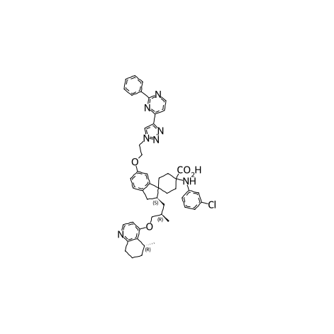 C[C@@H](COc1ccnc2c1[C@H](C)CCC2)C[C@H]1Cc2ccc(OCCn3cc(-c4ccnc(-c5ccccc5)n4)nn3)cc2C12CCC(Nc1cccc(Cl)c1)(C(=O)O)CC2